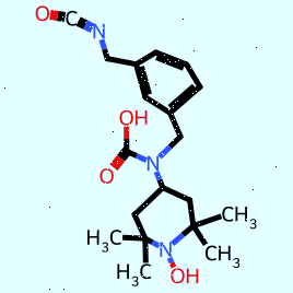 CC1(C)CC(N(Cc2cccc(CN=C=O)c2)C(=O)O)CC(C)(C)N1O